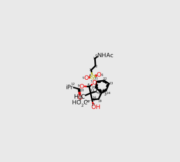 CC(=O)NCCCS(=O)(=O)OC(OC(=O)C(C)C)C(C)(C)[C@](O)(Cc1ccccc1)C(=O)O